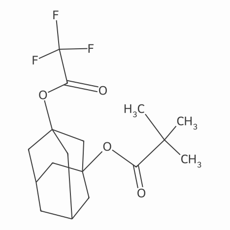 CC(C)(C)C(=O)OC12CC3CC(C1)CC(OC(=O)C(F)(F)F)(C3)C2